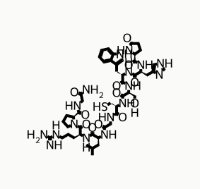 CC(C)C[C@H](NC(=O)CNC(=O)[C@H](CS)NC(=O)[C@H](CO)NC(=O)[C@H](Cc1c[nH]c2ccccc12)NC(=O)[C@H](Cc1c[nH]cn1)NC(=O)[C@@H]1CCC(=O)N1)C(=O)N[C@@H](CCCNC(=N)N)C(=O)N1CCC[C@H]1C(=O)NCC(N)=O